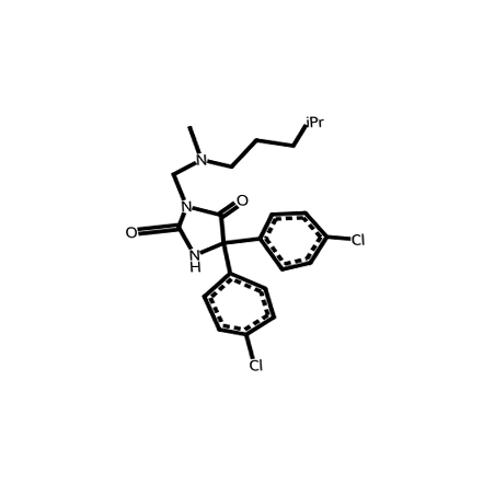 CC(C)CCCN(C)CN1C(=O)NC(c2ccc(Cl)cc2)(c2ccc(Cl)cc2)C1=O